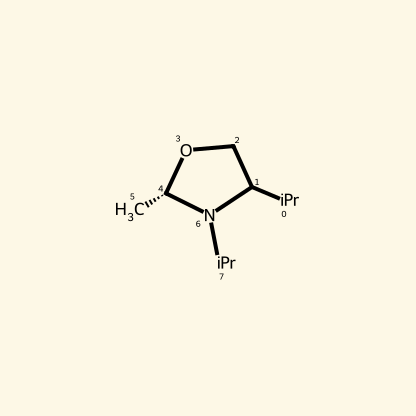 CC(C)C1CO[C@@H](C)N1C(C)C